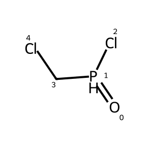 O=[PH](Cl)CCl